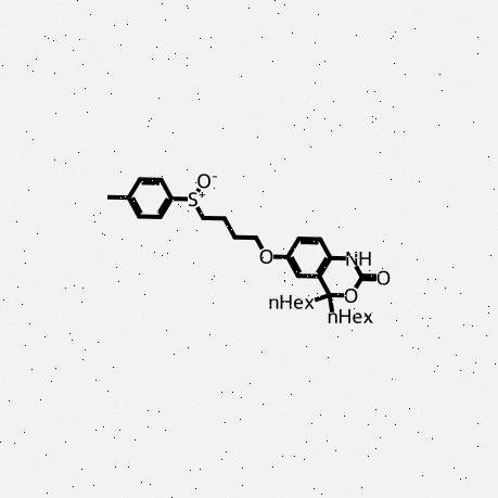 CCCCCCC1(CCCCCC)OC(=O)Nc2ccc(OCCCC[S+]([O-])c3ccc(C)cc3)cc21